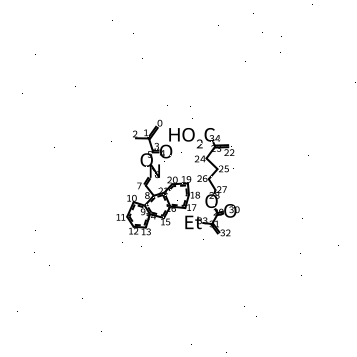 C=C(C)C(=O)ON=Cc1c2ccccc2cc2ccccc12.C=C(CCCCOC(=O)C(=C)CC)C(=O)O